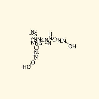 Cc1nc(C)c(-c2ccnc(N(c3ccc(N4CCN(CCOCCO)CC4)cc3)c3nc(C)c(-c4ccnc(Nc5ccc(N6CCN(CCCO)CC6)cc5)n4)s3)n2)s1